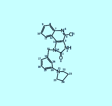 O=c1[nH]c2c(Cl)nc3ccccc3c2n1Cc1cccc(N2CCCC2)c1